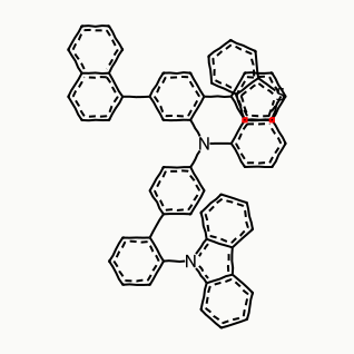 c1ccc(-c2ccc(-c3cccc4ccccc34)cc2N(c2ccc(-c3ccccc3-n3c4ccccc4c4ccccc43)cc2)c2cccc3sc4ccccc4c23)cc1